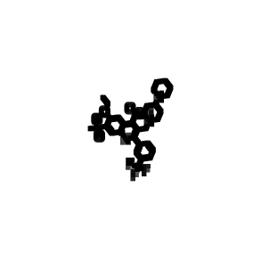 CCOc1cc2c(C(=O)O)c(CN3CCC(N4CCCCC4)CC3)c(-c3cccc(C(F)(F)F)c3)nc2cc1S(C)(=O)=O